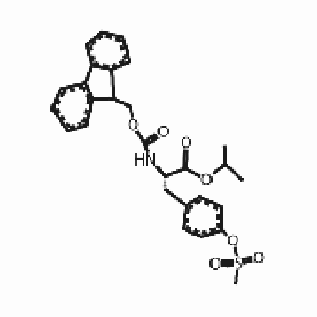 CC(C)OC(=O)[C@H](Cc1ccc(OS(C)(=O)=O)cc1)NC(=O)OCC1c2ccccc2-c2ccccc21